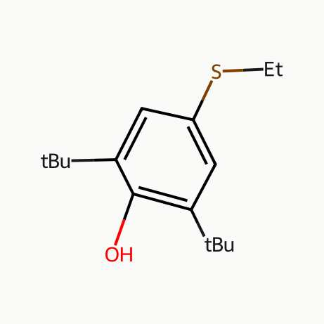 [CH2]CSc1cc(C(C)(C)C)c(O)c(C(C)(C)C)c1